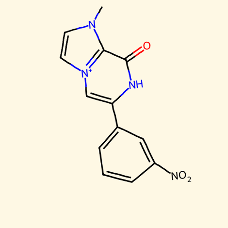 Cn1cc[n+]2cc(-c3cccc([N+](=O)[O-])c3)[nH]c(=O)c12